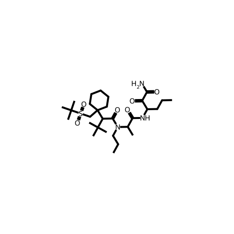 CCCC(NC(=O)C(C)N(CCC)C(=O)C(C(C)(C)C)C1(CS(=O)(=O)C(C)(C)C)CCCCC1)C(=O)C(N)=O